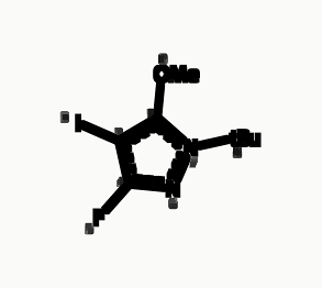 COc1c(I)c(F)nn1C(C)(C)C